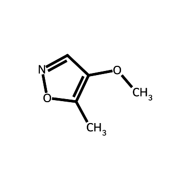 COc1cnoc1C